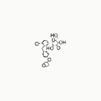 O=C1[C@@H](O)[C@H](c2ccc(Cl)c(Cc3ccc(O[C@H]4CCOC4)cc3)c2)O[C@H](CO)[C@H]1O